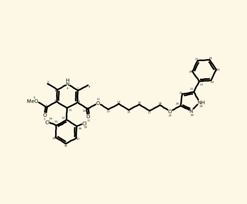 COC(=O)C1=C(C)NC(C)=C(C(=O)OCCCCCCOc2cc(-c3ccccc3)[nH]n2)C1c1c(Cl)cccc1Cl